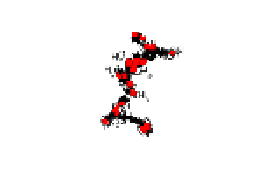 Cc1c(-c2ccc(N3CCc4c(OCCCP(=O)(O)O)ccc(C(=O)Nc5nc6ccccc6s5)c4C3)nc2C(=O)O)cnn1CC12CC3(C)CC(C)(C1)CC(OCCN(C)C(=O)OCc1ccc(NC(=O)[C@H](CCCNC(N)=O)NC(=O)[C@@H](NC(=O)CCCCCN4C(=O)C=CC4=O)C(C)C)cc1)(C3)C2